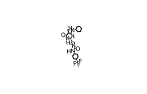 O=C(Nc1ccc(C(F)(F)F)cc1)N1CC(c2nc3c(cnn3-c3ccccc3)c(=O)[nH]2)C1